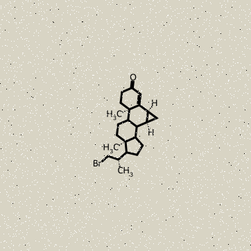 C[C@H](CBr)C1CCC2C3C(CC[C@@]21C)[C@@]1(C)CCC(=O)C=C1[C@H]1C[C@@H]31